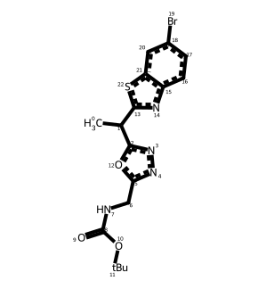 CC(c1nnc(CNC(=O)OC(C)(C)C)o1)c1nc2ccc(Br)cc2s1